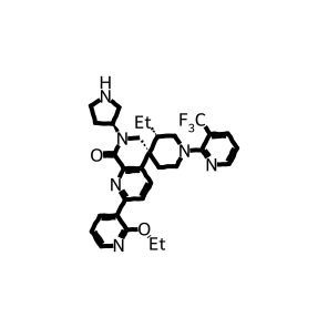 CCOc1ncccc1-c1ccc2c(n1)C(=O)N([C@H]1CCNC1)C[C@]21CCN(c2ncccc2C(F)(F)F)C[C@H]1CC